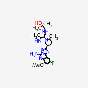 COc1cc(F)cc2c1nc(N)n1nc(C3CCC(C)N(/C(=C/NCC(C)(C)O)C(C)=N)C3)nc21